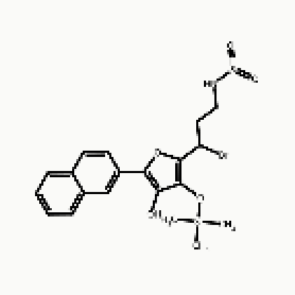 C[Si](C)(C)Oc1c(C(Br)CCN[SH](=O)=O)oc(-c2ccc3ccccc3c2)c1O